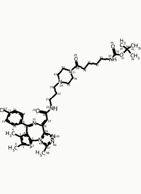 Cc1sc2c(c1C)C(c1ccc(Cl)cc1)=N/C(=C\C(=O)NCCCN1CCN(C(=O)CCCCNC(=O)OC(C)(C)C)CC1)c1nnc(C)n1-2